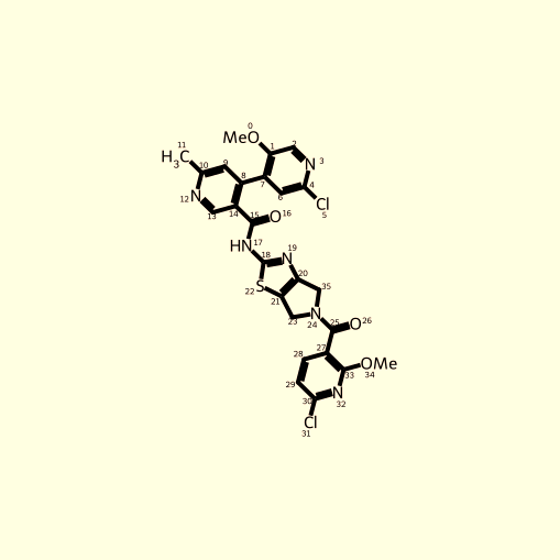 COc1cnc(Cl)cc1-c1cc(C)ncc1C(=O)Nc1nc2c(s1)CN(C(=O)c1ccc(Cl)nc1OC)C2